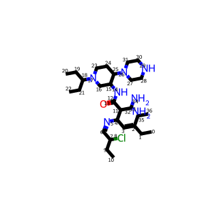 CCC(=CC(/N=C\C(Cl)CC)C(C(=O)NC1CN(C(CC)CC)CCC1N1CCNCC1)C(N)N)CC